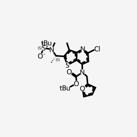 Cc1c([C@H](C)N(C)[S@+]([O-])C(C)(C)C)sc2c(N(Cc3ccco3)C(=O)OC(C)(C)C)cc(Cl)nc12